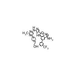 Cc1nc(Nc2ncc(C(=O)Nc3cc(-c4cccc(C(F)(F)F)c4)cc(C(N)=O)c3C)s2)cc(N2CCN(CCO)CC2)n1